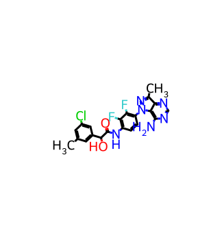 Cc1cc(Cl)cc(C(O)C(=O)Nc2ccc(-n3nc(C)c4ncnc(N)c43)c(F)c2F)c1